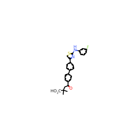 CC(C)(CC(=O)c1ccc(-c2ccc(-c3csc(Nc4cccc(F)c4)n3)cc2)cc1)C(=O)O